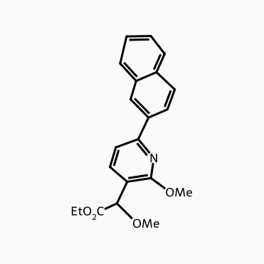 CCOC(=O)C(OC)c1ccc(-c2ccc3ccccc3c2)nc1OC